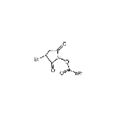 CCCC(=O)ON1C(=O)CC(CC)C1=O